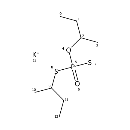 CCC(C)OP(=O)([S-])SC(C)CC.[K+]